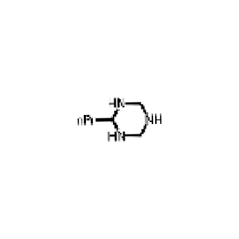 CCCC1NCNCN1